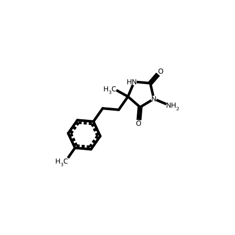 Cc1ccc(CCC2(C)NC(=O)N(N)C2=O)cc1